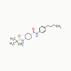 CCCCc1ccc(NC(=O)[C@H]2CC[C@@H](N[S+]([O-])C(C)(C)C)CC2)cc1